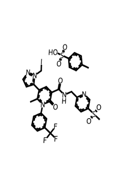 Cc1c(-c2ccnn2CI)cc(C(=O)NCc2ccc(S(C)(=O)=O)cn2)c(=O)n1-c1cccc(C(F)(F)F)c1.Cc1ccc(S(=O)(=O)O)cc1